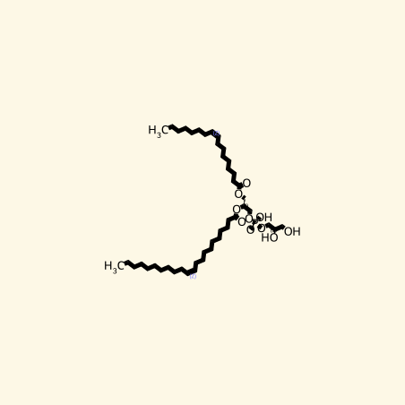 CCCCCCC/C=C\CCCCCCCC(=O)OC[C@H](COP(=O)(O)OC[C@@H](O)CO)OC(=O)CCCCCCCCC/C=C\CCCCCCCCCC